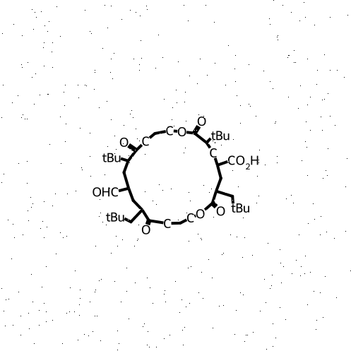 CC(C)(C)CC1CC(C=O)CC(C(C)(C)C)C(=O)CCCOC(=O)C(C(C)(C)C)CC(C(=O)O)CC(CC(C)(C)C)C(=O)OCCCC1=O